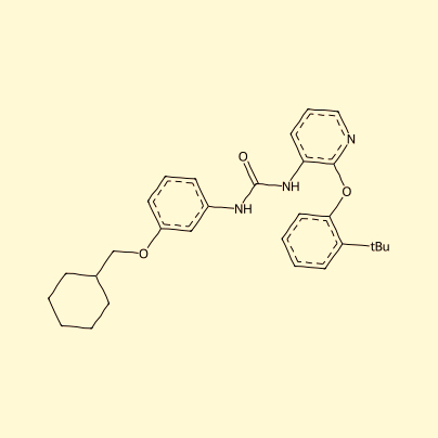 CC(C)(C)c1ccccc1Oc1ncccc1NC(=O)Nc1cccc(OCC2CCCCC2)c1